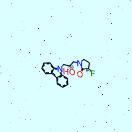 O=C1[C@H](F)CCN1C[C@H](O)Cn1c2ccccc2c2ccccc21